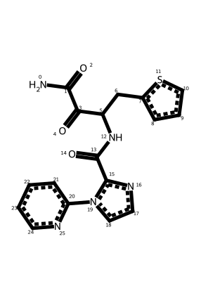 NC(=O)C(=O)C(Cc1cccs1)NC(=O)c1nccn1-c1ccccn1